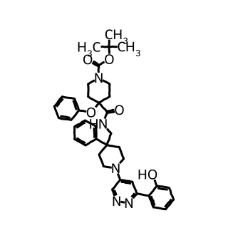 CC(C)(C)OC(=O)N1CCC(Oc2ccccc2)(C(=O)NCC2(c3ccccc3)CCN(c3cnnc(-c4ccccc4O)c3)CC2)CC1